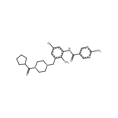 Cc1ncc(C(=O)Nc2cc(Cl)cc(CN3CCN(C(=O)C4CCCC4)CC3)c2C)cn1